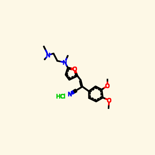 COc1ccc(C(C#N)=Cc2ccc(N(C)CCN(C)C)o2)cc1OC.Cl